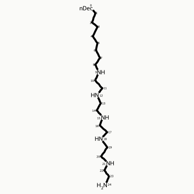 CCCCCCCCCCCCCCCCCCNCCNCCNCCNCCNCCN